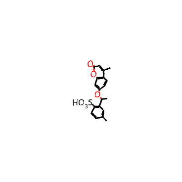 Cc1ccc(S(=O)(=O)O)c(C(C)Oc2ccc3c(C)cc(=O)oc3c2)c1